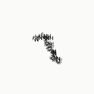 CC1C=C(c2ccccn2)N=C1C(=N)SC(=N)c1ccc2c(c1)C(C)(C)c1cc(-c3nnc(-c4cccc(-c5ccccn5)n4)s3)ccc1-2